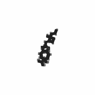 CCCC1(C)CC[C@H]1Cc1nc2c(o1)C=CC(C)(C(C)C)C=C2